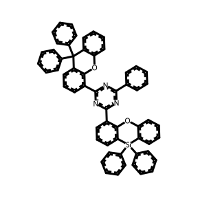 c1ccc(-c2nc(-c3cccc4c3Oc3ccccc3C4(c3ccccc3)c3ccccc3)nc(-c3cccc4c3Oc3ccccc3[Si]4(c3ccccc3)c3ccccc3)n2)cc1